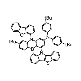 CC(C)(C)c1ccc(N(c2ccc(C(C)(C)C)cc2)c2cc3c4c(c2)-n2c5c(cccc5c5sc6ccccc6c52)B4c2ccc(C(C)(C)C)cc2N3c2cccc3c2oc2ccccc23)cc1